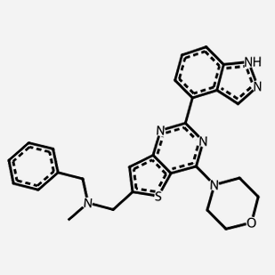 CN(Cc1ccccc1)Cc1cc2nc(-c3cccc4[nH]ncc34)nc(N3CCOCC3)c2s1